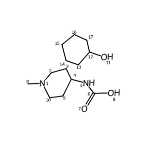 CN1CCC(NC(=O)O)CC1.OC1CCCCC1